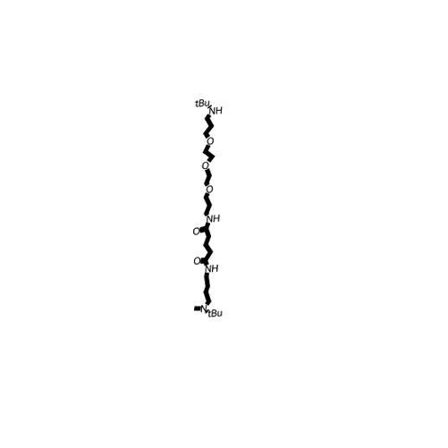 CN(CCCCNC(=O)CCCC(=O)NCCCOCCOCCOCCCNC(C)(C)C)C(C)(C)C